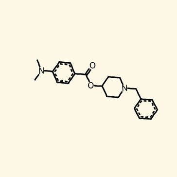 CN(C)c1ccc(C(=O)OC2CCN(Cc3ccccc3)CC2)cc1